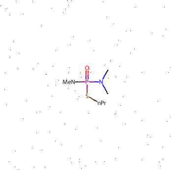 CCCSP(=O)(NC)N(C)C